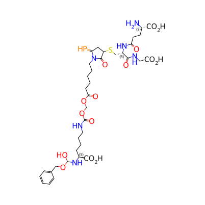 N[C@@H](CCC(=O)N[C@@H](CSC1CC(=P)N(CCCCCC(=O)OCOC(=O)NCCCC[C@H](NC(O)OCc2ccccc2)C(=O)O)C1=O)C(=O)NCC(=O)O)C(=O)O